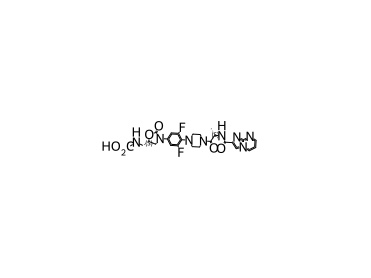 C[C@H](NC(=O)c1cn2cccnc2n1)C(=O)N1CCN(c2c(F)cc(N3C[C@H](CNC(=O)O)OC3=O)cc2F)CC1